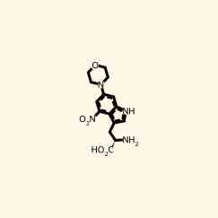 N[C@@H](Cc1c[nH]c2cc(N3CCOCC3)cc([N+](=O)[O-])c12)C(=O)O